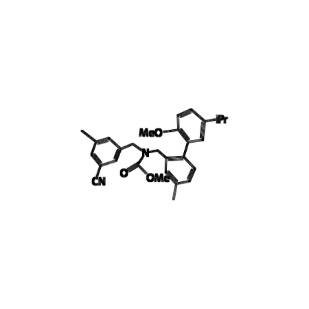 COC(=O)N(Cc1cc(C)cc(C#N)c1)Cc1cc(C)ccc1-c1cc(C(C)C)ccc1OC